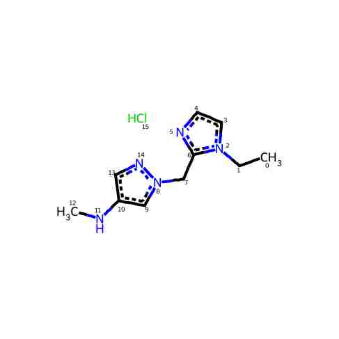 CCn1ccnc1Cn1cc(NC)cn1.Cl